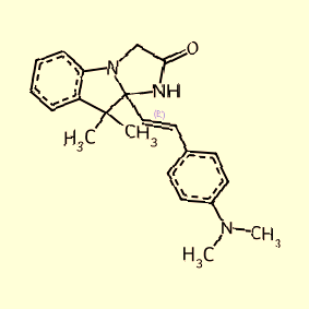 CN(C)c1ccc(/C=C/C23NC(=O)CN2c2ccccc2C3(C)C)cc1